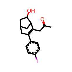 CC(=O)CC1=C(c2ccc(I)cc2)CC2CC(O)C1C2